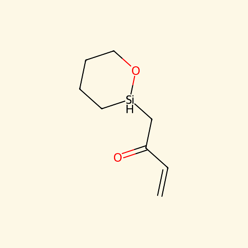 C=CC(=O)C[SiH]1CCCCO1